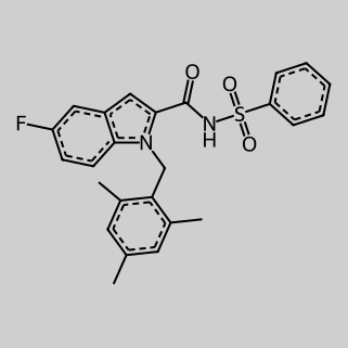 Cc1cc(C)c(Cn2c(C(=O)NS(=O)(=O)c3ccccc3)cc3cc(F)ccc32)c(C)c1